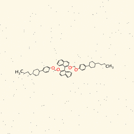 CCCCC1CCC(c2ccc(OCOc3ccc4ccccc4c3-c3c(OCOc4ccc(C5CCC(CCCC)CC5)cc4)ccc4ccccc34)cc2)CC1